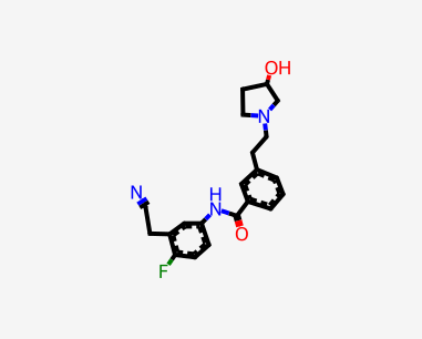 N#CCc1cc(NC(=O)c2cccc(CCN3CCC(O)C3)c2)ccc1F